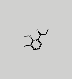 CCC(=O)c1cccc(Cl)c1OC